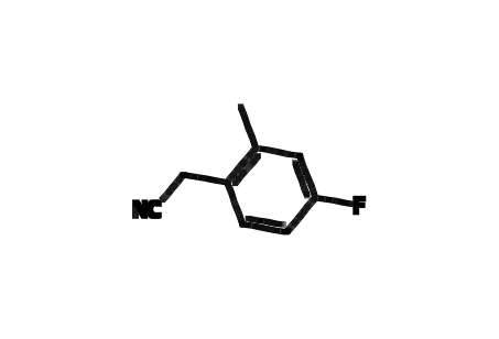 Cc1cc(F)ccc1CC#N